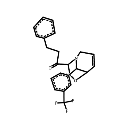 O=C(CCc1ccccc1)C1NOC2C=CCN1C2c1cccc(C(F)(F)F)c1